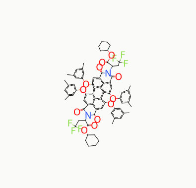 Cc1cc(C)cc(Oc2cc3c4c(cc(Oc5cc(C)cc(C)c5)c5c6c(Oc7cc(C)cc(C)c7)cc7c8c(cc(Oc9cc(C)cc(C)c9)c(c2c45)c86)C(=O)N(C(CC(F)(F)F)C(=O)OC2CCCCC2)C7=O)C(=O)N(C(CC(F)(F)F)C(=O)OC2CCCCC2)C3=O)c1